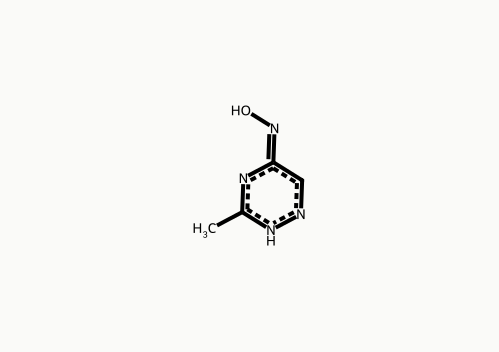 Cc1n/c(=N\O)cn[nH]1